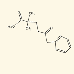 COC(=S)C(C)(C)CCC(=O)Cc1ccccc1